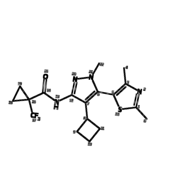 Cc1nc(C)c(-c2c(C3CCC3)c(NC(=O)C3(C(F)(F)F)CC3)nn2C)s1